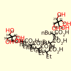 CCCCC(CC)C(=O)O.CCCCC(CC)C(=O)O.CCCCC(CC)C(=O)O.CCCCC(CC)C(=O)O.CCCCC(CC)C(=O)O.CCCCC(CC)C(=O)O.OCC(CO)(CO)CO.OCC(CO)(CO)CO